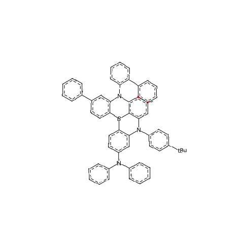 Cc1cc2c3c(c1)N(c1ccccc1-c1ccccc1)c1cc(-c4ccccc4)ccc1B3c1ccc(N(c3ccccc3)c3ccccc3)cc1N2c1ccc(C(C)(C)C)cc1